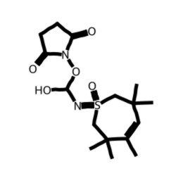 CC1=CC(C)(C)CS(=O)(=NC(O)ON2C(=O)CCC2=O)CC1(C)C